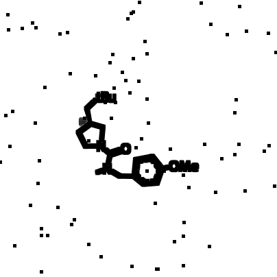 COc1ccc(CN(C)C(=O)N2CC[C@@H](CC(C)(C)C)C2)cc1